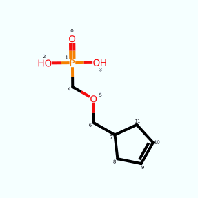 O=P(O)(O)COCC1CC=CC1